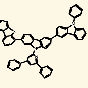 c1ccc(-c2cc(-c3ccccc3)nc(-n3c4ccc(-c5ccc6c(c5)c5ccccc5n6-c5ccccc5)cc4c4ccc(-c5cccc6c5sc5ccccc56)cc43)c2)cc1